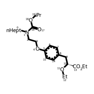 CCCCCCCN(CCOc1ccc(C[C@@H](OCC)C(=O)OCC)cc1)C(=O)OC(C)C